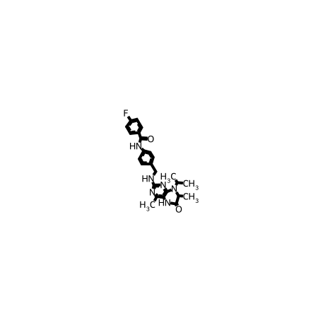 Cc1nc(NCc2ccc(NC(=O)c3ccc(F)cc3)cc2)nc2c1NC(=O)C(C)N2C(C)C